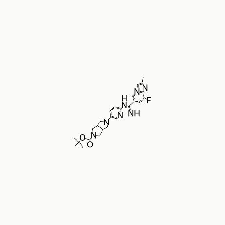 Cc1cn2cc(C(=N)Nc3ccc(N4CC5CN(C(=O)OC(C)(C)C)CC5C4)cn3)cc(F)c2n1